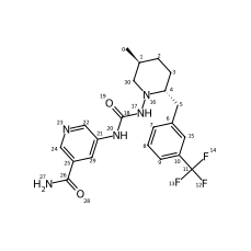 C[C@H]1CC[C@H](Cc2cccc(C(F)(F)F)c2)N(NC(=O)Nc2cncc(C(N)=O)c2)C1